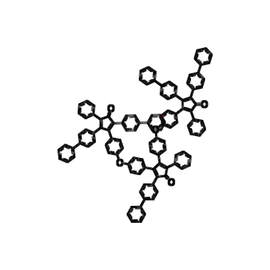 O=C1C(c2ccccc2)=C(c2ccc(Oc3ccc(C4=C(c5ccccc5)C(=O)C(c5ccc(-c6ccccc6)cc5)=C4c4ccc(-c5ccccc5)cc4)cc3)cc2)C(c2ccc(Oc3ccc(C4=C(c5ccc(-c6ccccc6)cc5)C(=O)C(c5ccccc5)=C4c4ccc(-c5ccccc5)cc4)cc3)cc2)=C1c1ccc(-c2ccccc2)cc1